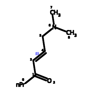 CCCC(=O)/C=C/CN(C)C